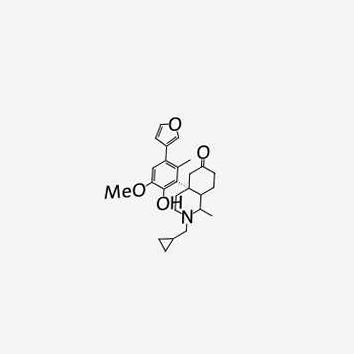 COc1cc(-c2ccoc2)c(C)c([C@@]23CCN(CC4CC4)C(C)C2CCC(=O)C3)c1O